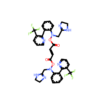 O=C(/C=C/C(=O)ON(CC1=NCCN1)c1ccccc1-c1ncccc1C(F)(F)F)ON(CC1=NCCN1)c1ccccc1-c1ncccc1C(F)(F)F